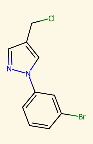 ClCc1cnn(-c2cccc(Br)c2)c1